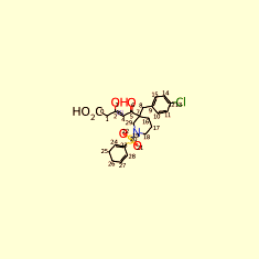 O=C(O)C/C(O)=C/C(=O)C1(Cc2ccc(Cl)cc2)CCCN(S(=O)(=O)C2=CCCC=C2)C1